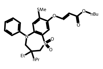 CCCCOC(=O)/C=C/Oc1cc2c(cc1SC)N(c1ccccc1)CC(CC)(CCC)CS2(=O)=O